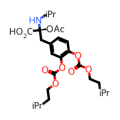 CC(=O)O[C@](Cc1ccc(OC(=O)OCCC(C)C)c(OC(=O)OCCC(C)C)c1)(NC(C)C)C(=O)O